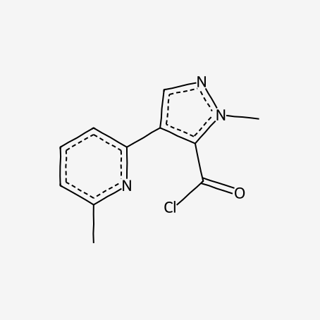 Cc1cccc(-c2cnn(C)c2C(=O)Cl)n1